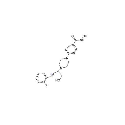 O=C(NO)c1cnc(N2CCN(C(/C=C/c3ccccc3F)CO)CC2)nc1